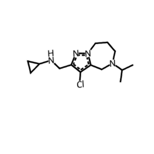 CC(C)N1CCCn2nc(CNC3CC3)c(Cl)c2C1